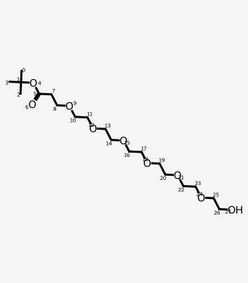 CC(C)(C)OC(=O)CCOCCOCCOCCOCCOCCOCCO